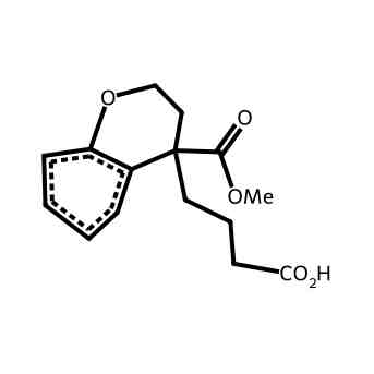 COC(=O)C1(CCCC(=O)O)CCOc2ccccc21